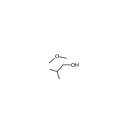 CC(C)CO.COC